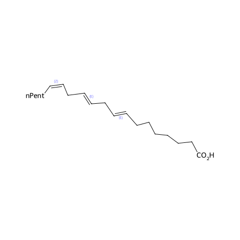 CCCCC/C=C\C/C=C/C/C=C/CCCCCCC(=O)O